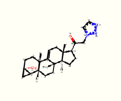 C[C@]12CC=C3[C@@H](CC[C@@H]4C5C[C@@]5(O)CC[C@]34C)[C@@H]1CC[C@@H]2C(=O)Cn1ccnn1